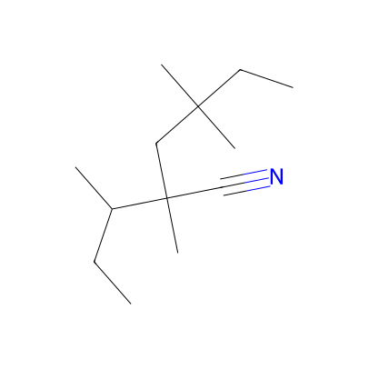 CCC(C)C(C)(C#N)CC(C)(C)CC